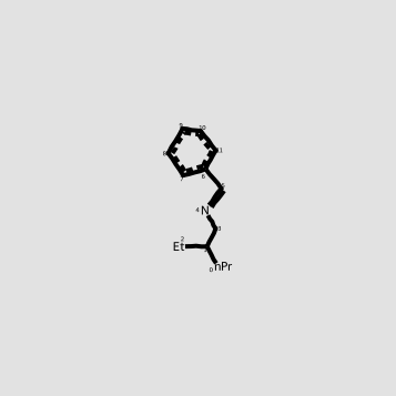 C[CH]CC(CC)CN=Cc1ccccc1